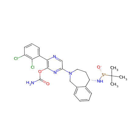 CC(C)(C)[S@@+]([O-])N[C@H]1CCN(c2cnc(-c3cccc(Cl)c3Cl)c(OC(N)=O)n2)Cc2ccccc21